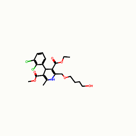 CCOC(=O)C1=C(COCCCCO)NC(C)=C(C(=O)OC)C1c1cccc(Cl)c1Cl